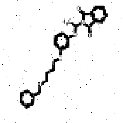 CC(Oc1cccc(OCCCCOCc2ccccc2)c1)N1C(=O)c2ccccc2C1=O